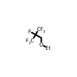 CCOCC(F)(C(F)(F)F)C(F)(F)F